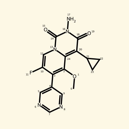 COc1c(-c2cncnc2)c(F)cn2c(=O)n(N)c(=O)c(C3CC3)c12